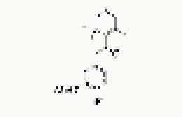 COc1cc(CC(O)C2=C(C)CCCC2(C)C)ccc1C(C)C